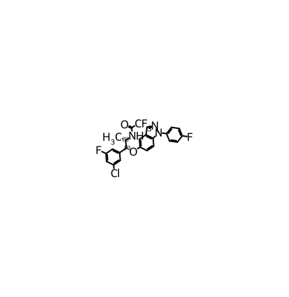 C[C@H](NC(=O)C(F)(F)F)[C@H](Oc1ccc2c(cnn2-c2ccc(F)cc2)c1)c1cc(F)cc(Cl)c1